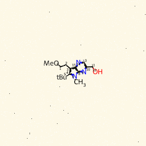 COCCc1c(C(C)(C)C)n(C)c2nc(CO)cnc12